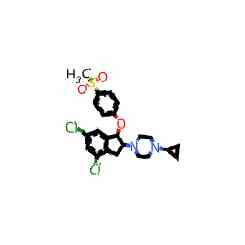 CS(=O)(=O)c1ccc(OC2c3cc(Cl)cc(Cl)c3CC2N2CCN(C3CC3)CC2)cc1